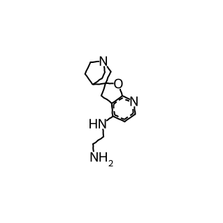 NCCNc1ccnc2c1CC1(CN3CCC1CC3)O2